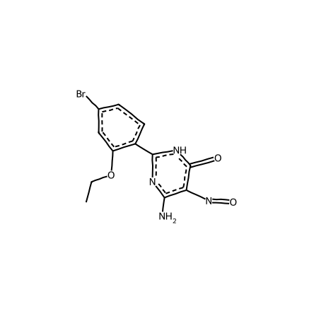 CCOc1cc(Br)ccc1-c1nc(N)c(N=O)c(=O)[nH]1